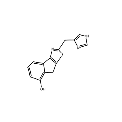 Oc1cccc2c1Cc1sc(Cc3c[nH]cn3)nc1-2